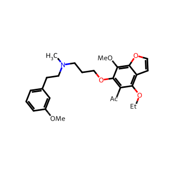 CCOc1c(C(C)=O)c(OCCCN(C)CCc2cccc(OC)c2)c(OC)c2occc12